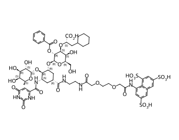 C[C@@H]1O[C@@H](O[C@@H]2[C@@H](NC(=O)c3cc(=O)[nH]c(=O)[nH]3)C[C@@H](C(=O)NCCNC(=O)COCCOCC(=O)Nc3cc(S(=O)(=O)O)cc4cc(S(=O)(=O)O)cc(S(=O)(=O)O)c34)C[C@H]2O[C@@H]2O[C@H](CO)[C@H](O)[C@H](O[C@@H](CC3CCCCC3)C(=O)O)[C@H]2OC(=O)c2ccccc2)[C@@H](O)[C@H](O)[C@@H]1O